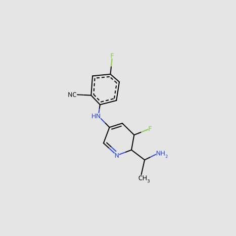 CC(N)C1N=CC(Nc2ccc(F)cc2C#N)=CC1F